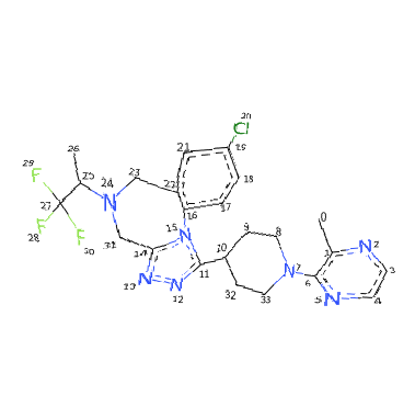 Cc1nccnc1N1CCC(c2nnc3n2-c2ccc(Cl)cc2CN(C(C)C(F)(F)F)C3)CC1